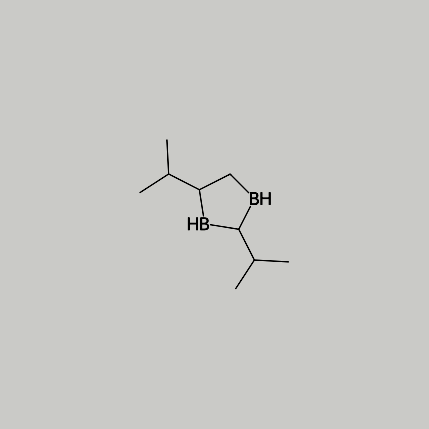 CC(C)C1BCC(C(C)C)B1